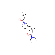 CCN(CC)C(=O)CC(C)(C)CC1CCCN(C(=O)CC(C)(C)C)C1